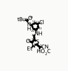 CCn1c(=C(C#N)C(=O)O)sc(=CNc2cc(Cl)cc(NC(=O)C(C)(C)C)c2)c1=O